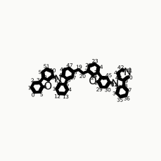 c1ccc2c(c1)oc1c(-n3c4ccccc4c4cc(CCc5cccc6c5oc5ccc(-n7c8ccccc8c8cnccc87)cc56)ccc43)cccc12